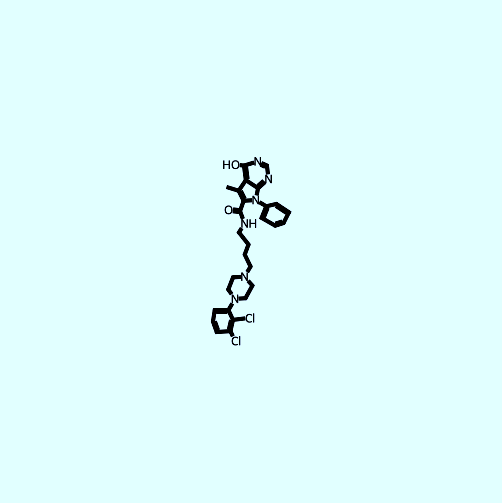 Cc1c(C(=O)NCCCCN2CCN(c3cccc(Cl)c3Cl)CC2)n(-c2ccccc2)c2ncnc(O)c12